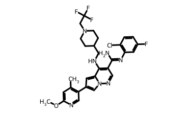 COc1cc(C)c(-c2cc3c(NCC4CCN(CC(F)(F)F)CC4)c(/C(N)=N/c4cc(F)ccc4Cl)cnn3c2)cn1